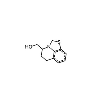 OCC1CCc2cccc3c2N1CS3